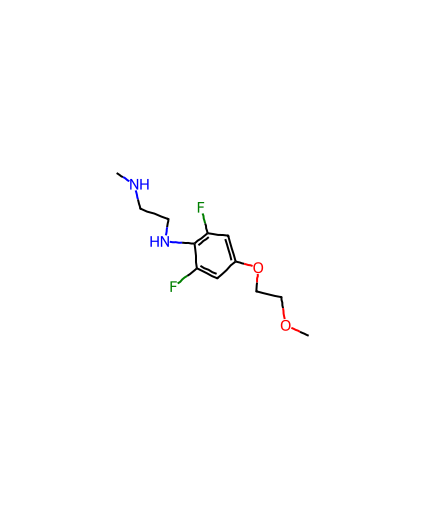 CNCCNc1c(F)cc(OCCOC)cc1F